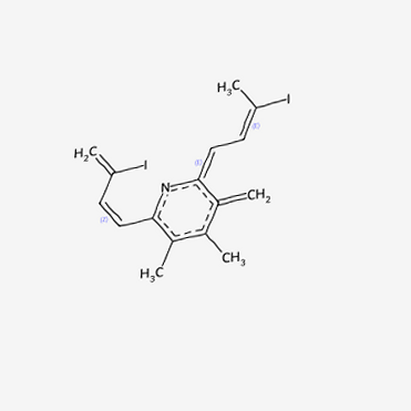 C=C(I)/C=C\c1n/c(=C/C=C(\C)I)c(=C)c(C)c1C